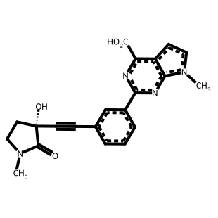 CN1CC[C@@](O)(C#Cc2cccc(-c3nc(C(=O)O)c4ccn(C)c4n3)c2)C1=O